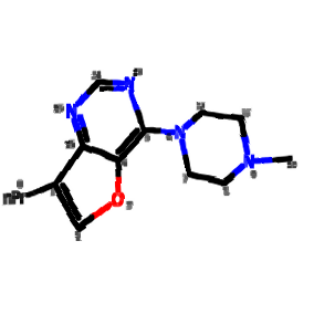 CCCc1coc2c(N3CCN(C)CC3)ncnc12